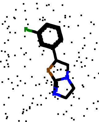 Fc1cccc(C2CN3CCN=C3S2)c1